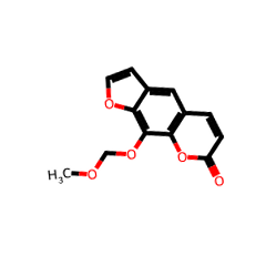 COCOc1c2occc2cc2ccc(=O)oc12